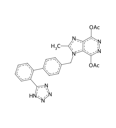 CC(=O)Oc1nnc(OC(C)=O)c2c1nc(C)n2Cc1ccc(-c2ccccc2-c2nnn[nH]2)cc1